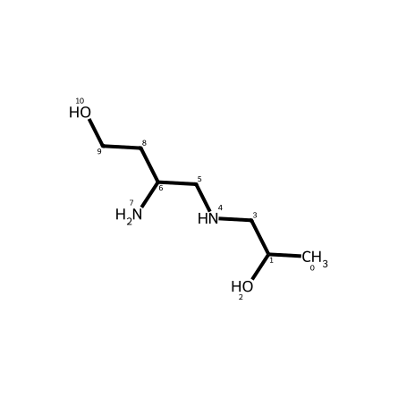 CC(O)CNCC(N)CCO